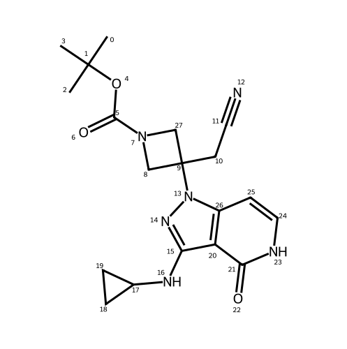 CC(C)(C)OC(=O)N1CC(CC#N)(n2nc(NC3CC3)c3c(=O)[nH]ccc32)C1